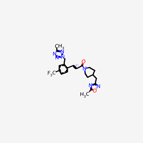 Cc1nnn(Cc2cc(C(F)(F)F)ccc2/C=C/C(=O)N2CCC(Cc3noc(C)n3)CC2)n1